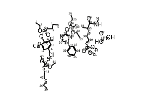 CCCSP(=O)(OCC)Oc1c(Cl)cc(Cl)cc1Cl.CCOP(=S)(OCC)Oc1ncn(-c2ccccc2)n1.CCSCCSP(=S)(OC)OC.CNC(=O)C(C)SCCSP(=O)(OC)OC.O=[PH](O)O